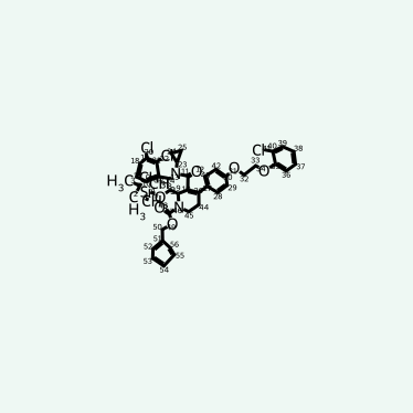 CC(C)(C)[Si](C)(C)OCC1C(C(=O)N(Cc2cccc(Cl)c2Cl)C2CC2)=C(c2ccc(OCCOc3ccccc3Cl)cc2)CCN1C(=O)OCc1ccccc1